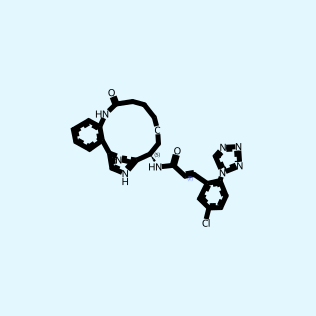 O=C(/C=C/c1cc(Cl)ccc1-n1cnnn1)N[C@H]1CCCCCC(=O)Nc2ccccc2-c2c[nH]c1n2